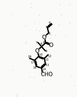 C=CCOC(=O)C(C)(C)Oc1c(C)cc(C=O)cc1C